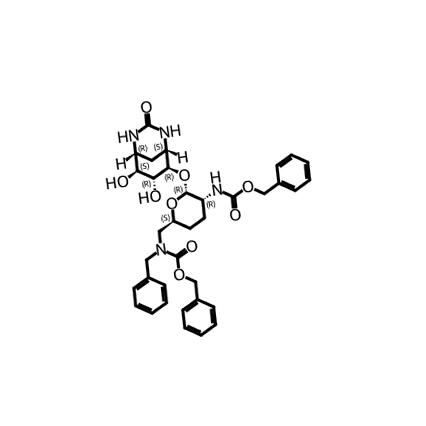 O=C1N[C@H]2C[C@@H](N1)[C@H](O)[C@@H](O)[C@@H]2O[C@H]1O[C@H](CN(Cc2ccccc2)C(=O)OCc2ccccc2)CC[C@H]1NC(=O)OCc1ccccc1